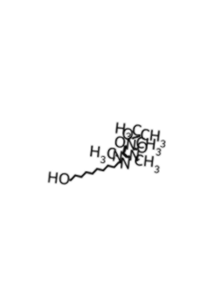 Cn1c(CCCCCCCCCO)nc2c1c(=O)n(C(=O)C(C)(C)C)c(=O)n2C